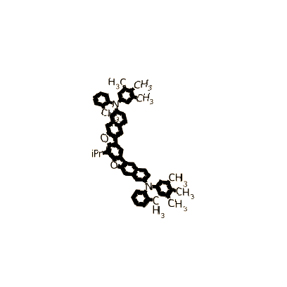 Cc1ccccc1N(c1cc(C)c(C)c(C)c1)c1ccc2cc3c(cc2c1)oc1c(C(C)C)c2oc4cc5cc(N(c6cc(C)c(C)c(C)c6)c6ccccc6C)ccc5cc4c2cc13